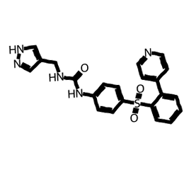 O=C(NCc1cn[nH]c1)Nc1ccc(S(=O)(=O)c2ccccc2-c2ccncc2)cc1